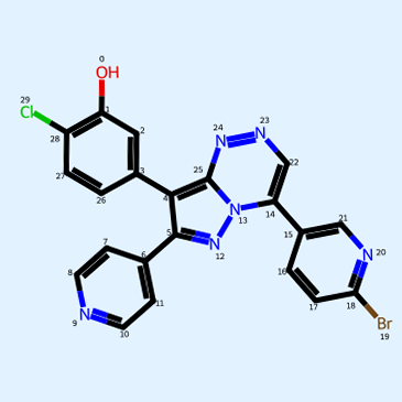 Oc1cc(-c2c(-c3ccncc3)nn3c(-c4ccc(Br)nc4)cnnc23)ccc1Cl